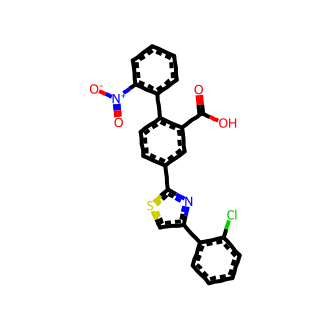 O=C(O)c1cc(-c2nc(-c3ccccc3Cl)cs2)ccc1-c1ccccc1[N+](=O)[O-]